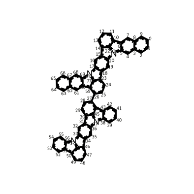 c1ccc2cc3c(cc2c1)c1cccc2c4cc5c(cc4n3c12)c1ccc(-c2ccc3c4cc6c(cc4n4c7ccccc7c2c34)c2cccc3c4ccccc4n6c32)c2c3cc4ccccc4cc3n5c12